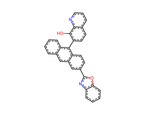 Oc1c(-c2c3ccccc3cc3cc(-c4nc5ccccc5o4)ccc23)ccc2cccnc12